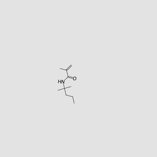 C=C(C)C(=O)NC(C)(C)CCC